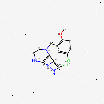 COc1ccc(Cl)cc1CN1CCNC2=C1c1c(Cl)[nH]n12